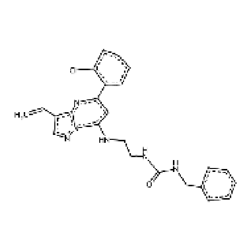 C=Cc1cnn2c(NCCNC(=O)NCc3ccccc3)cc(-c3ccccc3Cl)nc12